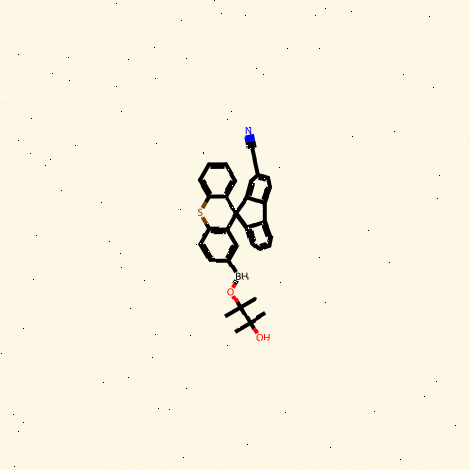 CC(C)(O)C(C)(C)OBc1ccc2c(c1)C1(c3ccccc3S2)c2ccccc2-c2ccc(C#N)cc21